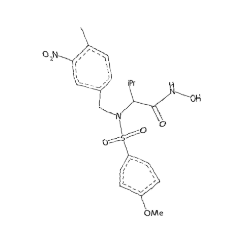 COc1ccc(S(=O)(=O)N(Cc2ccc(C)c([N+](=O)[O-])c2)C(C(=O)NO)C(C)C)cc1